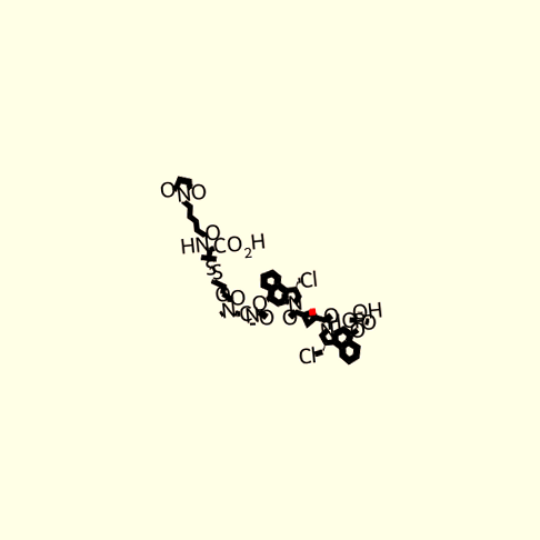 CN(CCN(C)C(=O)Oc1cc2c(c3ccccc13)[C@H](CCl)CN2C(=O)C12CC(C(=O)N3C[C@@H](CCl)c4c3cc(OP(=O)(O)O)c3ccccc43)(C1)C2)C(=O)OCCSSC(C)(C)C(NC(=O)CCCCCN1C(=O)C=CC1=O)C(=O)O